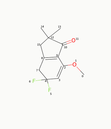 COC1=CC(F)(F)CC2=C1C(=O)C(C)(C)C2